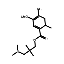 COC1=C(N)CC(C)C(C(=O)NCC(C)(C)CN(C)C)=C1